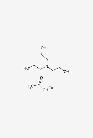 CC(=O)O.OCCN(CCO)CCO.[Cu]